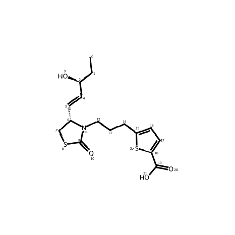 CC[C@H](O)/C=C/[C@H]1CSC(=O)N1CCCc1ccc(C(=O)O)s1